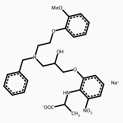 COc1ccccc1OCCN(Cc1ccccc1)CC(O)COc1cccc([N+](=O)[O-])c1NC(C)C(=O)[O-].[Na+]